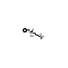 O=C(NCCCCS(=O)(=O)[O-])OCc1ccccc1.[Na+]